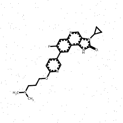 CN(C)CCCOc1ccc(-c2cc3c(cc2F)ncc2c3[nH]c(=O)n2C2CC2)cn1